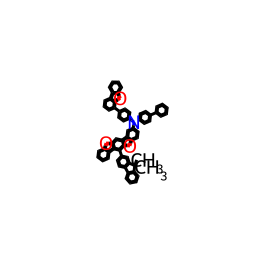 CC1(C)c2ccccc2-c2ccc(-c3c4oc5ccc(N(c6ccc(-c7ccccc7)cc6)c6ccc(-c7cccc8c7oc7ccccc78)cc6)cc5c4cc4oc5ccccc5c34)cc21